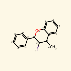 CC1c2ccccc2OC(c2ccccc2)C1I